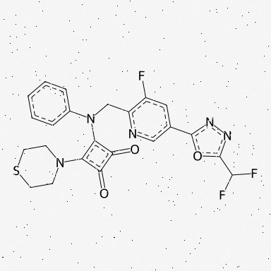 O=c1c(N2CCSCC2)c(N(Cc2ncc(-c3nnc(C(F)F)o3)cc2F)c2ccccc2)c1=O